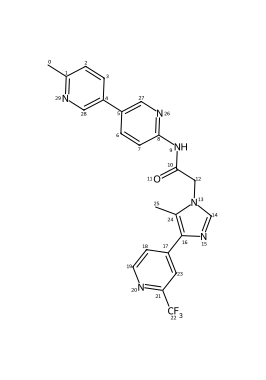 Cc1ccc(-c2ccc(NC(=O)Cn3cnc(-c4ccnc(C(F)(F)F)c4)c3C)nc2)cn1